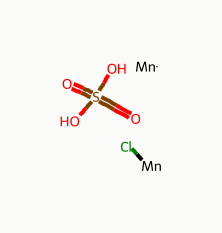 O=S(=O)(O)O.[Cl][Mn].[Mn]